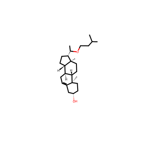 CC(C)CCOC(C)[C@H]1CC[C@H]2[C@@H]3CC=C4C[C@@H](O)CC[C@]4(C)[C@H]3CC[C@]12C